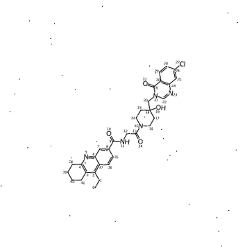 CCc1c2c(nc3cc(C(=O)NCC(=O)N4CCC(O)(Cn5cnc6cc(Cl)ccc6c5=O)CC4)ccc13)CCCC2